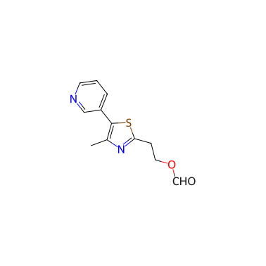 Cc1nc(CCOC=O)sc1-c1cccnc1